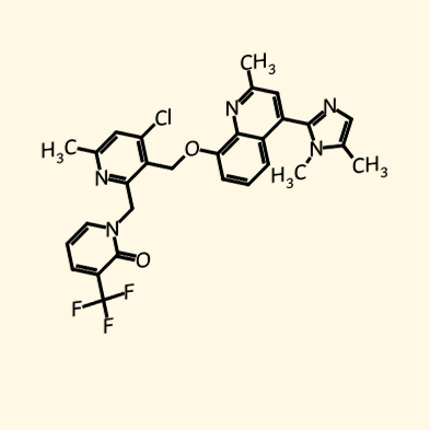 Cc1cc(Cl)c(COc2cccc3c(-c4ncc(C)n4C)cc(C)nc23)c(Cn2cccc(C(F)(F)F)c2=O)n1